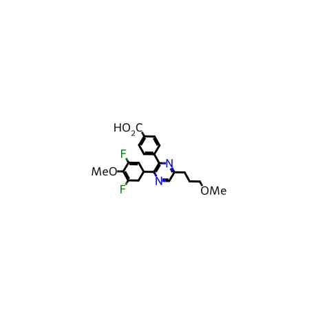 COCCCc1cnc(C2C=C(F)C(OC)=C(F)C2)c(-c2ccc(C(=O)O)cc2)n1